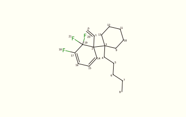 C=CC1(C2(CCCCC)CCCCC2)C=CC=C(F)C1(F)F